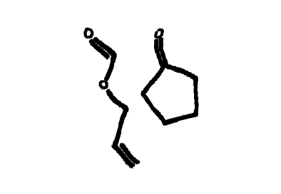 C=CCOC=O.O=C1CCCC1